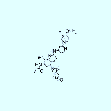 C=CC(=O)Nc1cc(N2C[C@H](CS(C)(=O)=O)[C@H]2C)c2cnc(Nc3ccnc(N4CC[C@@H](OC(F)(F)F)[C@@H](F)C4)c3)nc2c1C(C)C